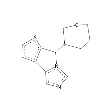 c1cc2c(s1)[C@H](C1CCCCC1)n1cncc1-2